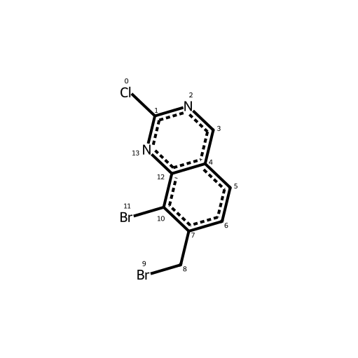 Clc1ncc2ccc(CBr)c(Br)c2n1